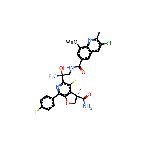 COc1cc(C(=O)NCC(O)(c2nc(-c3ccc(F)cc3)c3c(c2F)[C@@](C)(C(N)=O)CO3)C(F)(F)F)cc2cc(Cl)c(C)nc12